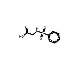 O=C(O)CNS(=O)(=O)c1c[c]ccc1